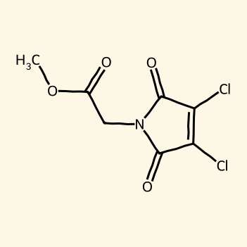 COC(=O)CN1C(=O)C(Cl)=C(Cl)C1=O